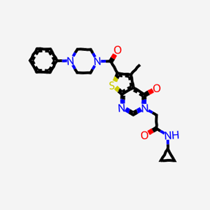 Cc1c(C(=O)N2CCN(c3ccccc3)CC2)sc2ncn(CC(=O)NC3CC3)c(=O)c12